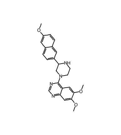 COc1ccc2cc(C3CN(c4ncnc5cc(OC)c(OC)cc45)CCN3)ccc2c1